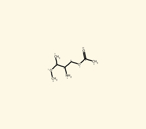 COC(C)C(N)COC(C)=O